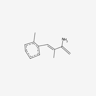 C=C(N)/C(C)=C/c1ccccc1C